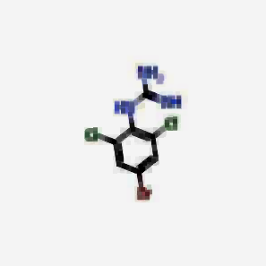 N=C(N)Nc1c(Cl)cc(Br)cc1Cl